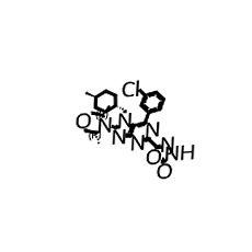 C[C@@H]1COC[C@@H](C)N1c1nc2nc(-c3n[nH]c(=O)o3)nc(-c3cccc(Cl)c3)c2n1C[C@H]1CC[C@H](C)CC1